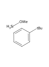 CC(C)(C)c1ccccc1.CO[SiH3]